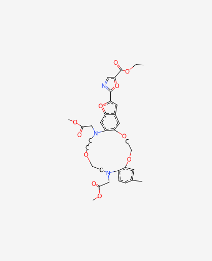 CCOC(=O)c1cnc(-c2cc3cc4c(cc3o2)N(CC(=O)OC)CCOCCN(CC(=O)OC)c2ccc(C)cc2OCCO4)o1